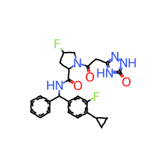 O=C(NC(c1ccccc1)c1ccc(C2CC2)c(F)c1)C1CC(F)CN1C(=O)Cc1n[nH]c(=O)[nH]1